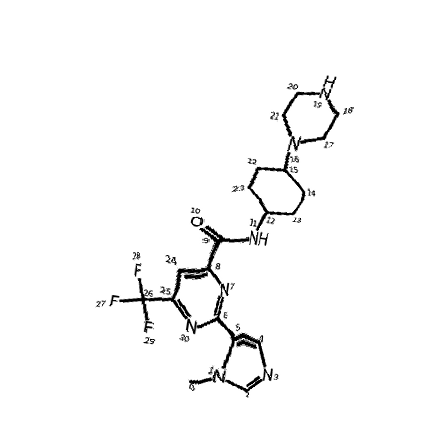 Cn1cncc1-c1nc(C(=O)NC2CCC(N3CCNCC3)CC2)cc(C(F)(F)F)n1